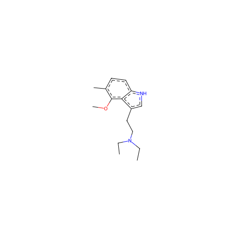 CCN(CC)CCc1c[nH]c2ccc(C)c(OC)c12